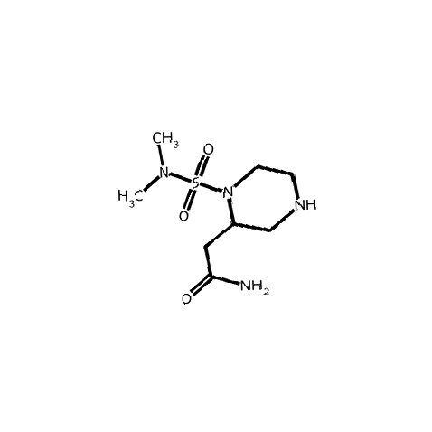 CN(C)S(=O)(=O)N1CCNCC1CC(N)=O